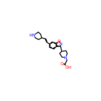 O=C(O)CN1CCC(c2noc3cc(C=CC4CCNCC4)ccc23)CC1